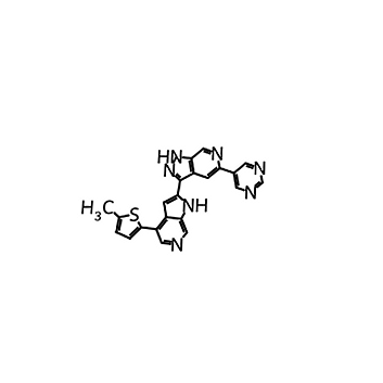 Cc1ccc(-c2cncc3[nH]c(-c4n[nH]c5cnc(-c6cncnc6)cc45)cc23)s1